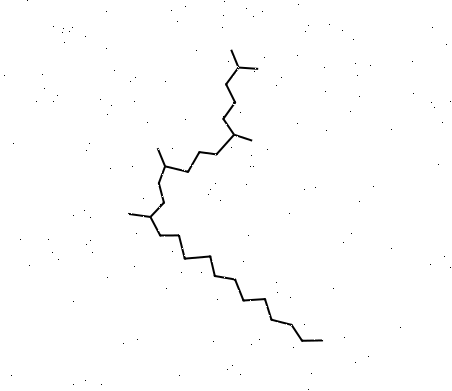 CCCCCCCCCCCCC(C)CCC(C)CCCC(C)CCCC(C)C